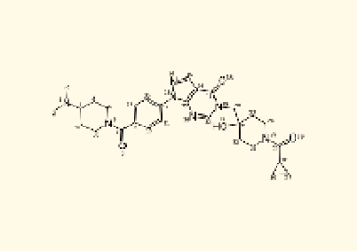 CN(C)C1CCN(C(=O)c2ccc(-n3ncc4c(=O)n(CC5(O)CCN(C(=O)C6CC6)CC5)cnc43)cc2)CC1